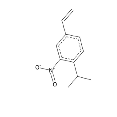 C=Cc1ccc(C(C)C)c([N+](=O)[O-])c1